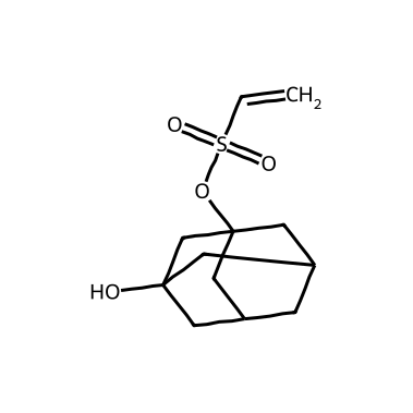 C=CS(=O)(=O)OC12CC3CC(CC(O)(C3)C1)C2